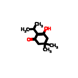 CC(C)C1=C(O)CC(C)(C)CC1=O